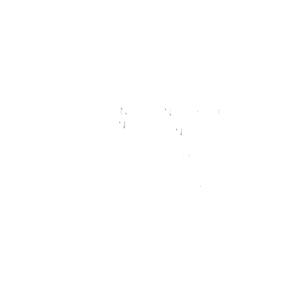 CCOC(=O)c1nc(-c2cnn(Cc3ccccc3)c2)cn1COCC[Si](C)(C)C